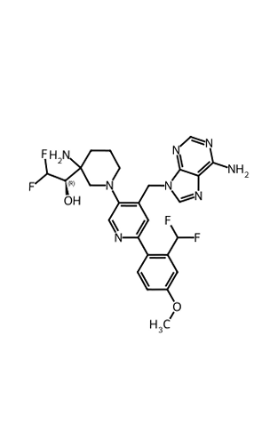 COc1ccc(-c2cc(Cn3cnc4c(N)ncnc43)c(N3CCCC(N)([C@@H](O)C(F)F)C3)cn2)c(C(F)F)c1